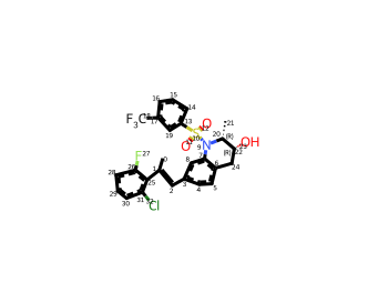 CC(=Cc1ccc2c(c1)N(S(=O)(=O)c1cccc(C(F)(F)F)c1)[C@H](C)[C@H](O)C2)c1c(F)cccc1Cl